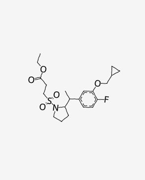 CCOC(=O)CCS(=O)(=O)N1CCCC1C(C)c1ccc(F)c(OCC2CC2)c1